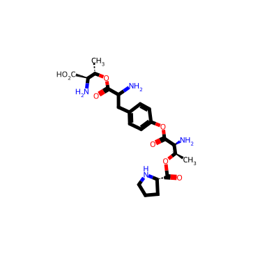 C[C@H](OC(=O)C(N)Cc1ccc(OC(=O)[C@@H](N)[C@@H](C)OC(=O)[C@@H]2CCCN2)cc1)[C@@H](N)C(=O)O